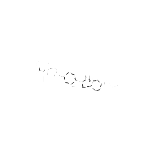 CCOc1ccc2cc(-c3ccc(OC[C@H](C)NC(C)=O)cc3F)nn2c1